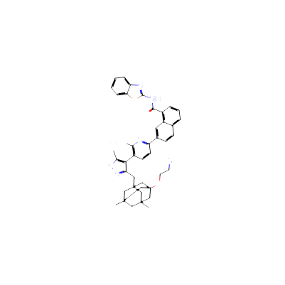 Cc1[nH]nc(CC23CC4(C)CC(C)(C2)CC(OCCN)(C4)C3)c1-c1ccc(-c2ccc3cccc(C(=O)Nc4nc5ccccc5s4)c3c2)nc1C(=O)O